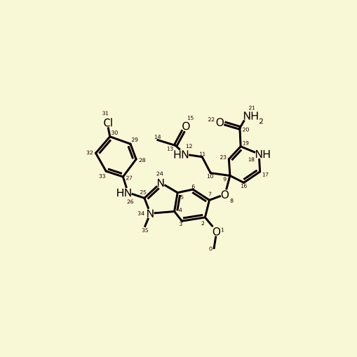 COc1cc2c(cc1OC1(CCNC(C)=O)C=CNC(C(N)=O)=C1)nc(Nc1ccc(Cl)cc1)n2C